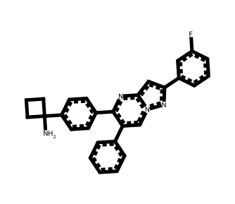 NC1(c2ccc(-c3nc4cc(-c5cccc(F)c5)nn4cc3-c3ccccc3)cc2)CCC1